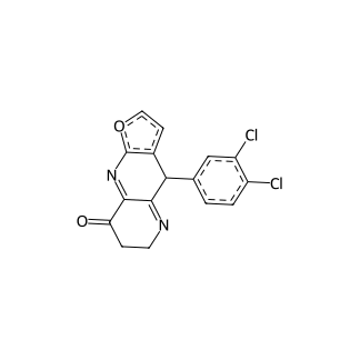 O=C1CCN=C2C1=Nc1occc1C2c1ccc(Cl)c(Cl)c1